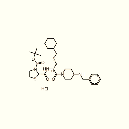 CC(C)(C)OC(=O)N1[CH]CSC1C(=O)N[C@@H](CSCC1CCCCC1)C(=O)N1CCC(NCc2ccccc2)CC1.Cl